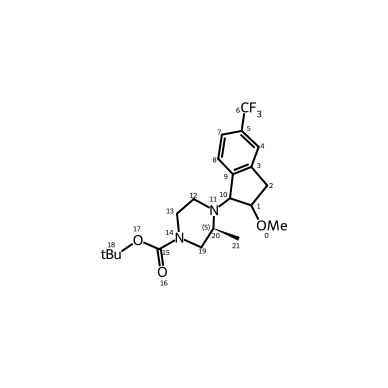 COC1Cc2cc(C(F)(F)F)ccc2C1N1CCN(C(=O)OC(C)(C)C)C[C@@H]1C